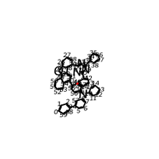 c1ccc(-c2cccc(N(c3ccccc3)c3ccc(-c4cc5c(oc6cccc(-c7nc(-c8ccccc8)nc(-c8ccccc8)n7)c65)c5ccccc45)cc3)c2)cc1